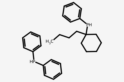 CCCCC1(Pc2ccccc2)CCCCC1.c1ccc(Pc2ccccc2)cc1